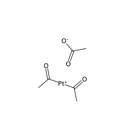 CC(=O)[O-].C[C](=O)[Pt+][C](C)=O